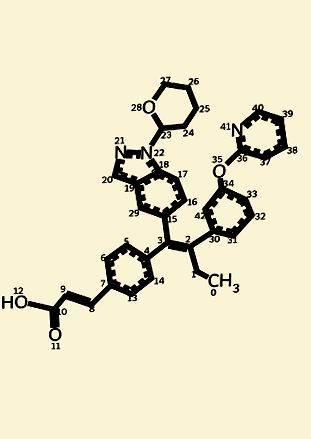 CC/C(=C(\c1ccc(C=CC(=O)O)cc1)c1ccc2c(cnn2C2CCCCO2)c1)c1cccc(Oc2ccccn2)c1